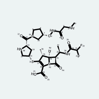 CNCC(=O)NO[C@H]1CCN(C(=O)[C@@H]2C[C@H](SC3=C(C(=O)O)N4C(=O)[C@H]([C@@H](C)NC(=O)C(F)F)[C@@H]4[C@H]3C)CN2)C1